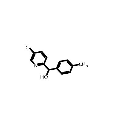 Cc1ccc(C(O)c2ccc(Cl)cn2)cc1